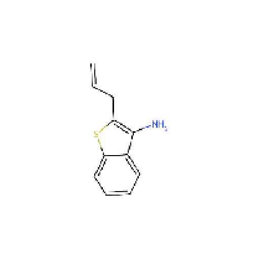 C=CCc1sc2ccccc2c1N